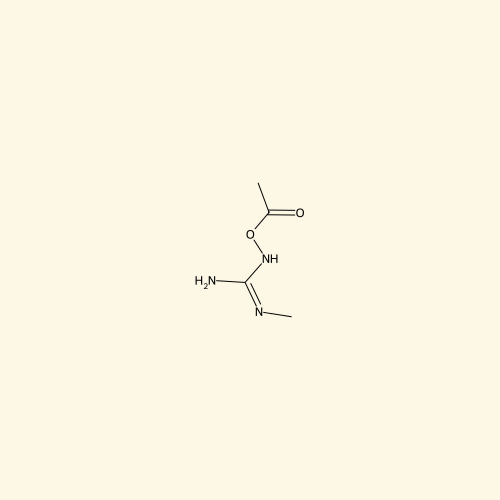 CN=C(N)NOC(C)=O